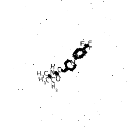 CC(C)(C)NC(=O)OCC1CCN(c2ccc(C(F)(F)F)cc2)CC1